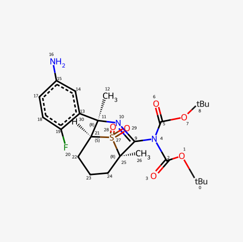 CC(C)(C)OC(=O)N(C(=O)OC(C)(C)C)C1=N[C@](C)(c2cc(N)ccc2F)[C@@H]2CCC[C@@]1(C)S2(=O)=O